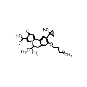 COCCCOc1cc2c(cc1C1(O)CC1)-c1cc(=O)c(C(=O)O)cn1C(C(C)C)C2